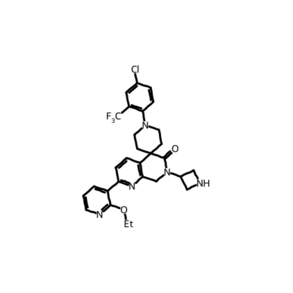 CCOc1ncccc1-c1ccc2c(n1)CN(C1CNC1)C(=O)C21CCN(c2ccc(Cl)cc2C(F)(F)F)CC1